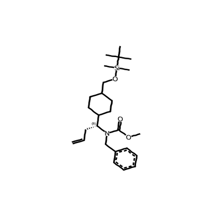 C=CC[C@H](C1CCC(CO[Si](C)(C)C(C)(C)C)CC1)N(Cc1ccccc1)C(=O)OC